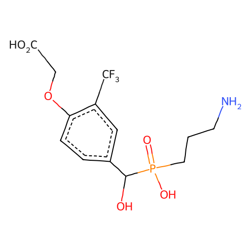 NCCCP(=O)(O)C(O)c1ccc(OCC(=O)O)c(C(F)(F)F)c1